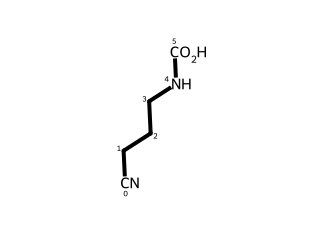 N#CCCCNC(=O)O